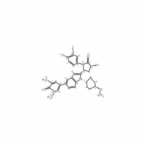 CO[C@H]1CC[C@H](n2c([C@@H]3C[C@H](F)C(=O)N3c3ccc(F)c(F)c3)nc3cc(-c4cc(C)c(=O)n(C)c4)ccc32)CC1